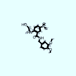 COc1ccc(CNC(=O)c2cc([N+](=O)[O-])ccc2N[C@H](C)CO)cc1OC